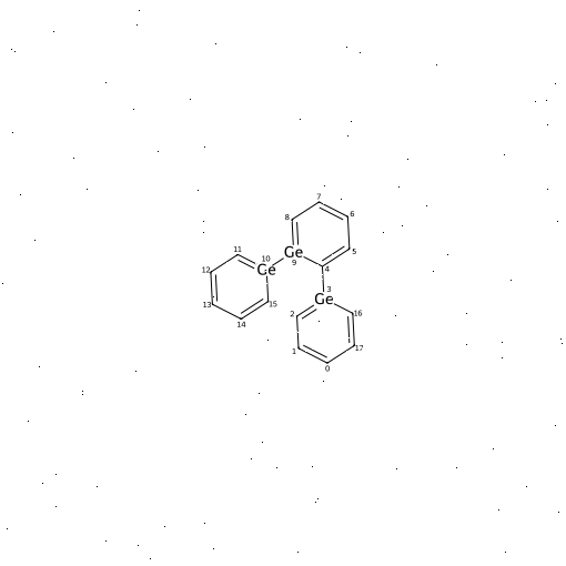 C1=C[CH]=[Ge]([C]2=CC=C[CH]=[Ge]2[Ge]2=[CH]C=CC=[CH]2)[CH]=C1